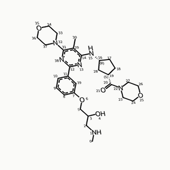 CNCC(O)COc1cccc(-c2nc(N[C@@H]3CC[C@H](C(=O)N4CCOCC4)C3)c(C)c(N3CCOCC3)n2)c1